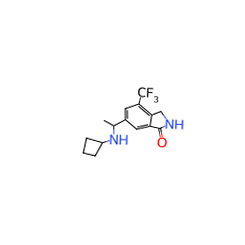 CC(NC1CCC1)c1cc2c(c(C(F)(F)F)c1)CNC2=O